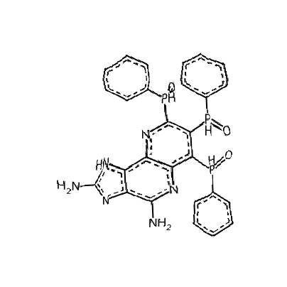 Nc1nc2c(N)nc3c([PH](=O)c4ccccc4)c([PH](=O)c4ccccc4)c([PH](=O)c4ccccc4)nc3c2[nH]1